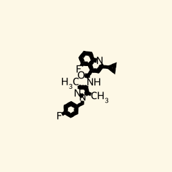 Cc1nn(Cc2ccc(F)cc2)c(C)c1NC(=O)c1cc(C2CC2)nc2cccc(F)c12